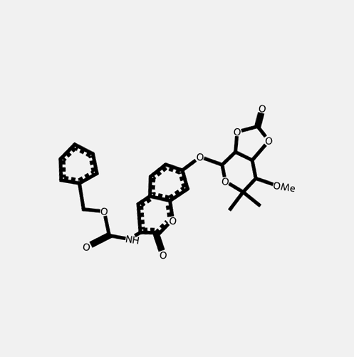 COC1C2OC(=O)OC2C(Oc2ccc3cc(NC(=O)OCc4ccccc4)c(=O)oc3c2)OC1(C)C